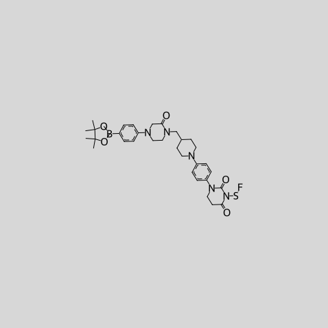 CC1(C)OB(c2ccc(N3CCN(CC4CCN(c5ccc(N6CCC(=O)N(SF)C6=O)cc5)CC4)C(=O)C3)cc2)OC1(C)C